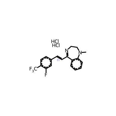 CN1CCN=C(/C=C/c2ccc(C(F)(F)F)c(F)c2)c2ccccc21.Cl.Cl